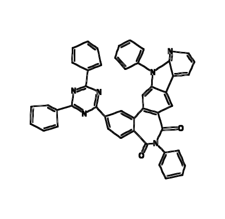 O=c1c2ccc(-c3nc(-c4ccccc4)nc(-c4ccccc4)n3)cc2c2cc3c(cc2c(=O)n1-c1ccccc1)c1cccnc1n3-c1ccccc1